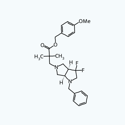 COc1ccc(COC(=O)C(C)(C)CN2C[C@@H]3[C@H](C2)N(Cc2ccccc2)CC3(F)F)cc1